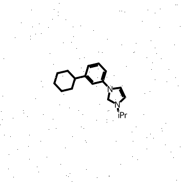 CC(C)N1C=CN(c2cccc(C3CCCCC3)c2)C1